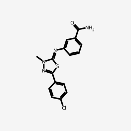 Cn1nc(-c2ccc(Cl)cc2)sc1=Nc1cccc(C(N)=O)c1